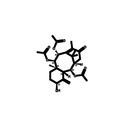 C=C1[C@@H](O)CC[C@@]2(C)[C@@H](OC(C)=O)[C@H](OC(C)=O)C3=C(C)C(=O)C[C@@H]([C@@H](OC(C)=O)[C@H]12)C3(C)C